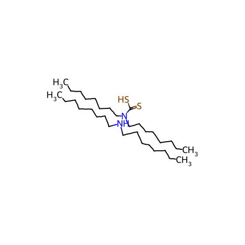 CCCCCCCCN(CCCCCCCC)C(=S)S.CCCCCCCCNCCCCCCCC